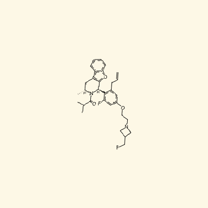 C=CCc1cc(OCCN2CC(CF)C2)cc(F)c1[C@@H]1c2oc3ccccc3c2C[C@@H](C)N1C(=O)C(C)C